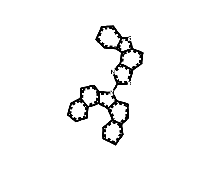 c1ccc2c(c1)ccc1c2c2c3ccccc3ccc2n1-c1nc2c(ccc3sc4ccccc4c32)o1